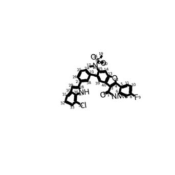 CNC(=O)c1c(-c2ccc(F)cc2)oc2cc(N(C)S(C)(=O)=O)c(-c3cccc(-c4cc5cccc(Cl)c5[nH]4)c3)cc12